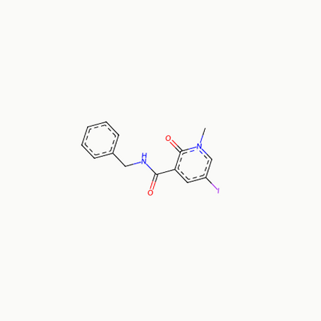 Cn1cc(I)cc(C(=O)NCc2ccccc2)c1=O